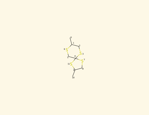 CC1CSC2(CS1)SCC(C)S2